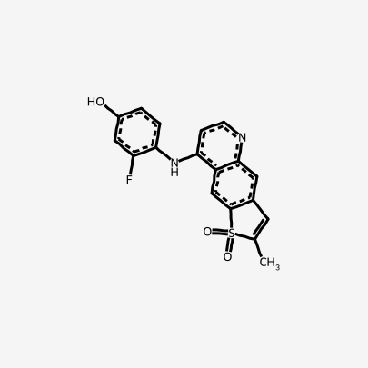 CC1=Cc2cc3nccc(Nc4ccc(O)cc4F)c3cc2S1(=O)=O